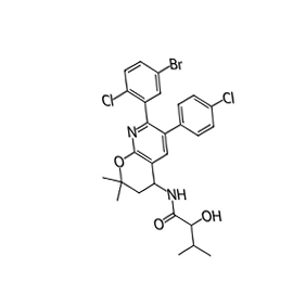 CC(C)C(O)C(=O)NC1CC(C)(C)Oc2nc(-c3cc(Br)ccc3Cl)c(-c3ccc(Cl)cc3)cc21